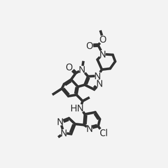 COC(=O)N1CCCC(n2ncc3c4c(C(C)Nc5ccc(Cl)nc5-c5cnn(C)c5)cc(C)cc4c(=O)n(C)c32)C1